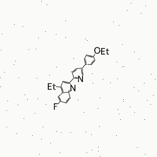 CCOc1ccc(-c2ccc(-c3cc(CC)c4cc(F)ccc4n3)nc2)cc1